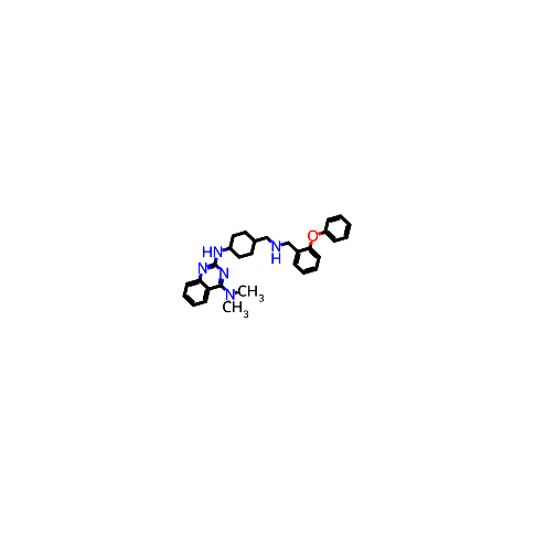 CN(C)c1nc(NC2CCC(CNCc3ccccc3Oc3ccccc3)CC2)nc2ccccc12